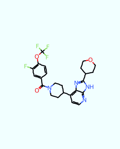 O=C(c1ccc(OC(F)(F)F)c(F)c1)N1CCC(c2ccnc3[nH]c(C4CCOCC4)nc23)CC1